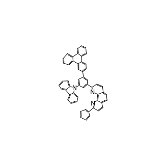 c1ccc(-c2ccc3ccc4ccc(-c5cc(-c6ccc7c8ccccc8c8ccccc8c7c6)cc(-n6c7ccccc7c7ccccc76)c5)nc4c3n2)cc1